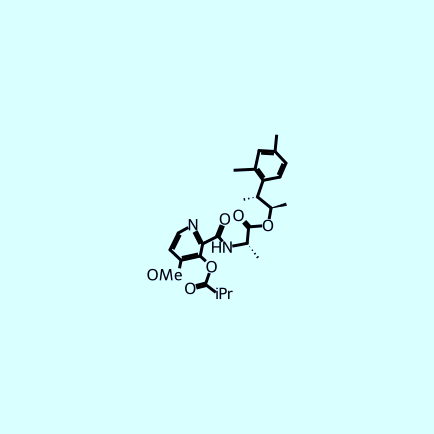 COc1ccnc(C(=O)N[C@@H](C)C(=O)O[C@H](C)[C@H](C)c2ccc(C)cc2C)c1OC(=O)C(C)C